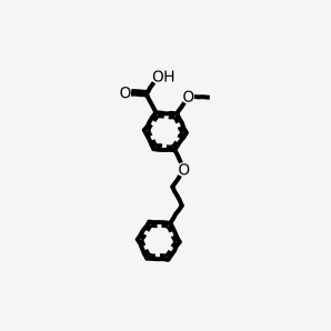 COc1cc(OCCc2ccccc2)ccc1C(=O)O